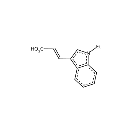 CCn1cc(C=CC(=O)O)c2ccccc21